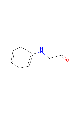 O=[C]CNC1=CCC=CC1